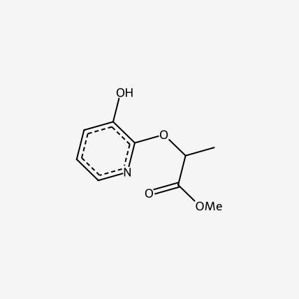 COC(=O)C(C)Oc1ncccc1O